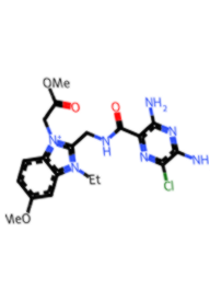 CCn1c(CNC(=O)c2nc(Cl)c(N)nc2N)[n+](CC(=O)OC)c2ccc(OC)cc21